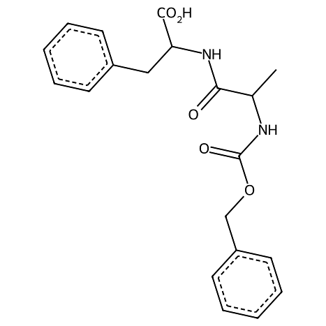 CC(NC(=O)OCc1ccccc1)C(=O)NC(Cc1ccccc1)C(=O)O